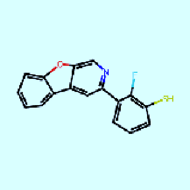 Fc1c(S)cccc1-c1cc2c(cn1)oc1ccccc12